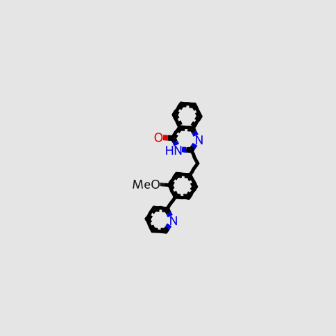 COc1cc(Cc2nc3ccccc3c(=O)[nH]2)ccc1-c1ccccn1